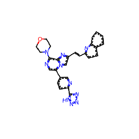 C(=Cc1cn2c(-c3ccc(-c4nnn[nH]4)nc3)cnc(N3CCOCC3)c2n1)c1ccc2ccccc2n1